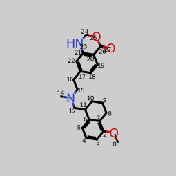 COc1cccc2c1CCCC2CN(C)CCc1ccc2c(c1)NCOC2=O